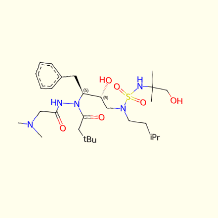 CC(C)CCN(C[C@@H](O)[C@H](Cc1ccccc1)N(NC(=O)CN(C)C)C(=O)CC(C)(C)C)S(=O)(=O)NC(C)(C)CO